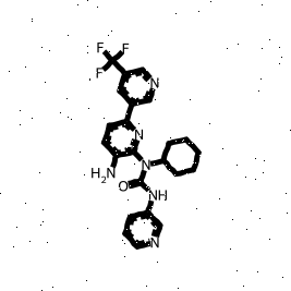 Nc1ccc(-c2cncc(C(F)(F)F)c2)nc1N(C(=O)Nc1cccnc1)C1CCCCC1